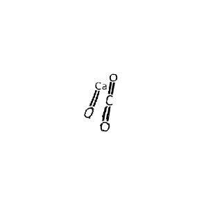 O=C=O.[O]=[Ca]